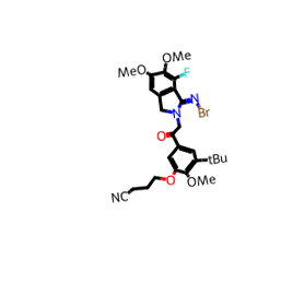 COc1cc2c(c(F)c1OC)/C(=N/Br)N(CC(=O)c1cc(OCCCC#N)c(OC)c(C(C)(C)C)c1)C2